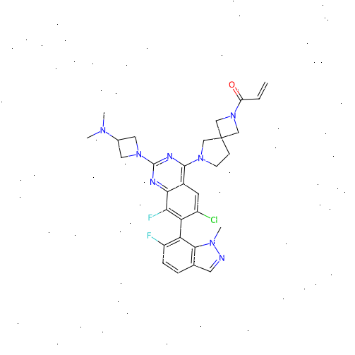 C=CC(=O)N1CC2(CCN(c3nc(N4CC(N(C)C)C4)nc4c(F)c(-c5c(F)ccc6cnn(C)c56)c(Cl)cc34)C2)C1